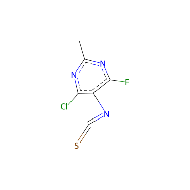 Cc1nc(F)c(N=C=S)c(Cl)n1